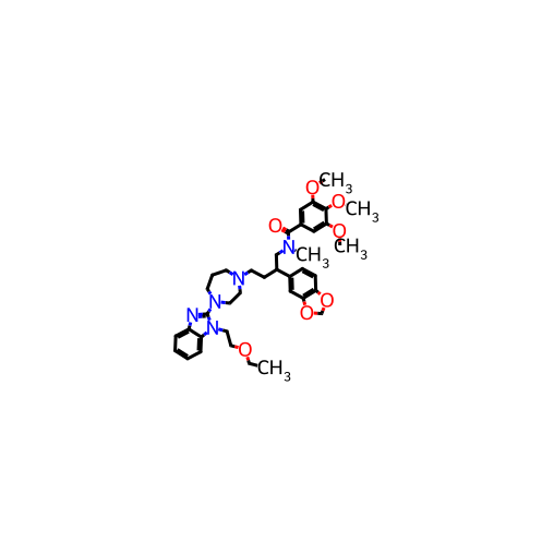 CCOCCn1c(N2CCCN(CCC(CN(C)C(=O)c3cc(OC)c(OC)c(OC)c3)c3ccc4c(c3)OCO4)CC2)nc2ccccc21